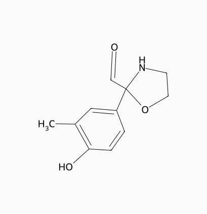 Cc1cc(C2(C=O)NCCO2)ccc1O